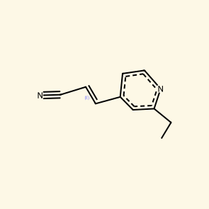 CCc1cc(/C=C/C#N)ccn1